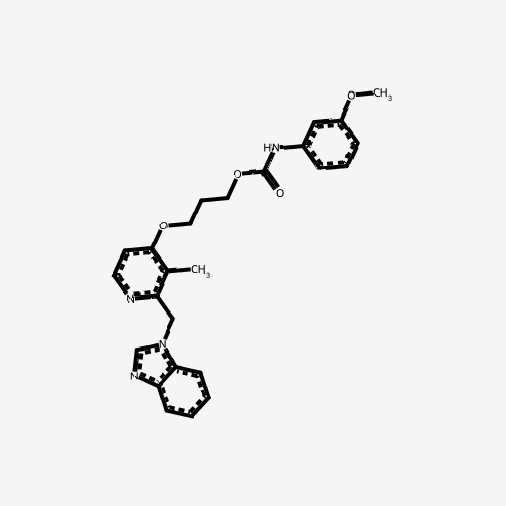 COc1cccc(NC(=O)OCCCOc2ccnc(Cn3cnc4ccccc43)c2C)c1